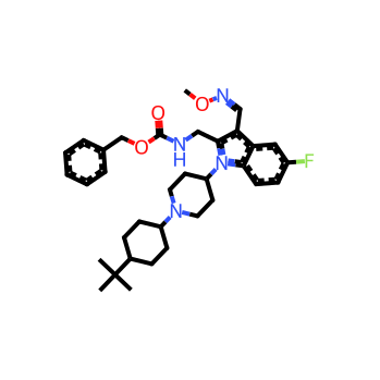 CO/N=C\c1c(CNC(=O)OCc2ccccc2)n(C2CCN(C3CCC(C(C)(C)C)CC3)CC2)c2ccc(F)cc12